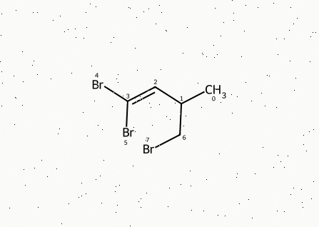 CC(C=C(Br)Br)CBr